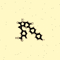 Cc1ccc(C2CC23C(=O)Nc2cc(Cl)c(-c4ccc(-c5ccc(I)cc5)cc4)nc23)cc1C(=O)O